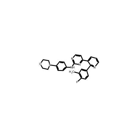 Cc1cc(-c2ncccc2-c2ccnc(Nc3ccc(N4CCOCC4)cc3)n2)ccc1F